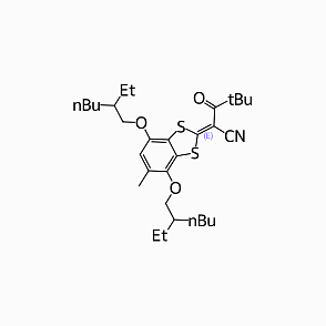 CCCCC(CC)COc1cc(C)c(OCC(CC)CCCC)c2c1S/C(=C(/C#N)C(=O)C(C)(C)C)S2